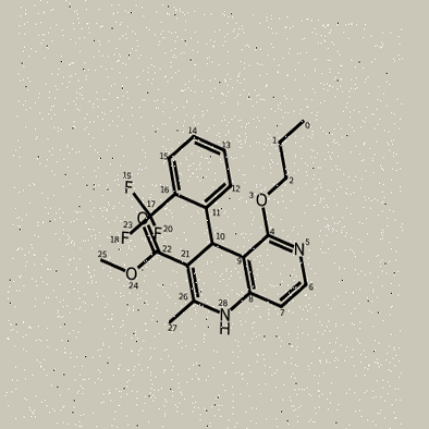 CCCOc1nccc2c1C(c1ccccc1C(F)(F)F)C(C(=O)OC)=C(C)N2